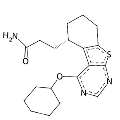 NC(=O)CC[C@@H]1CCCc2sc3ncnc(OC4CCCCC4)c3c21